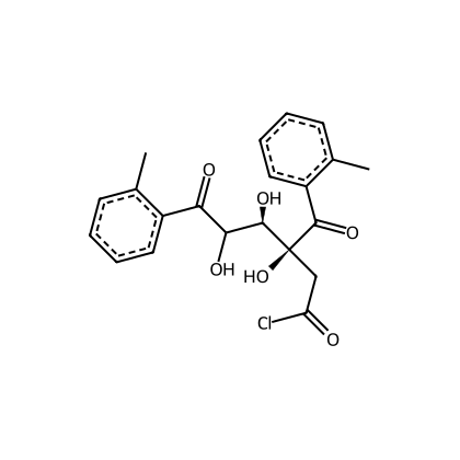 Cc1ccccc1C(=O)C(O)[C@@H](O)[C@@](O)(CC(=O)Cl)C(=O)c1ccccc1C